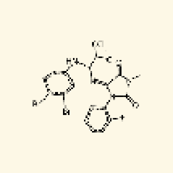 CN1C(=O)C(=NC(Nc2ccc(Br)c(Br)c2)C(Cl)C(Cl)(Cl)Cl)N(c2ccccc2F)C1=O